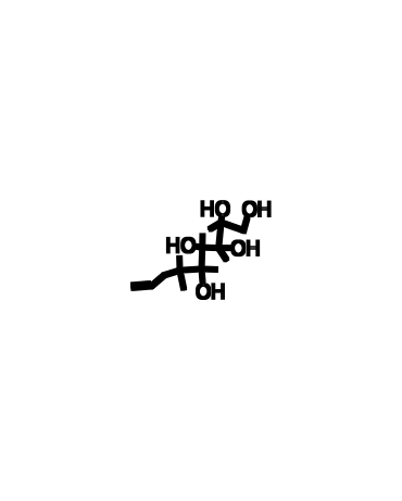 C=CCC(C)(C)C(C)(O)C(C)(O)C(C)(O)C(C)(O)CO